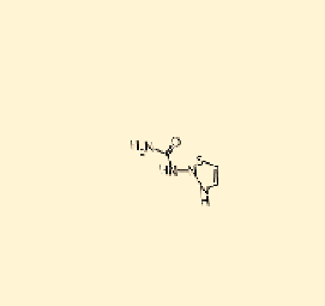 NC(=O)NN1NC=CS1